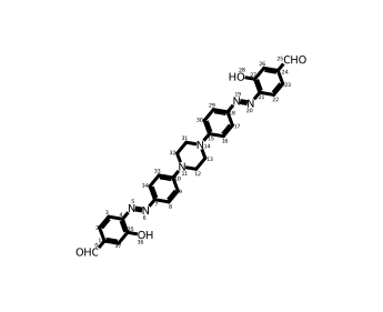 O=Cc1ccc(/N=N/c2ccc(N3CCN(c4ccc(/N=N/c5ccc(C=O)cc5O)cc4)CC3)cc2)c(O)c1